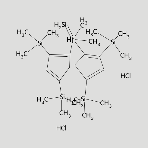 C[Si](C)(C)C1=CC([Si](C)(C)C)=[C]([Hf]([CH3])([CH3])(=[SiH2])[C]2=C([Si](C)(C)C)C=C([Si](C)(C)C)C2)C1.Cl.Cl